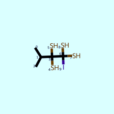 CC(C)C(S)(S)C(S)(S)I